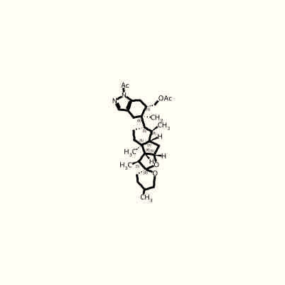 CC(=O)OC[C@H]1Cc2c(cnn2C(C)=O)C[C@]1(C)[C@H]1CC[C@]2(C)[C@@H]3[C@H](C[C@H]2[C@@H]1C)O[C@]1(CCC(C)CO1)[C@H]3C